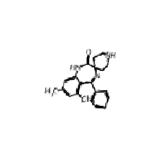 Cc1cc(C)c2c(c1)NC(=O)C1(CCNCC1)N=C2c1ccccc1